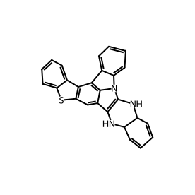 C1=CC2Nc3c(n4c5ccccc5c5c6c(cc3c54)sc3ccccc36)NC2C=C1